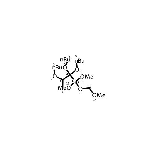 CCCCOC(C)C(OCCCC)(OCCCC)[Si](OC)(OC)OCOC